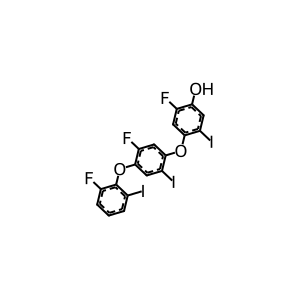 Oc1cc(I)c(Oc2cc(F)c(Oc3c(F)cccc3I)cc2I)cc1F